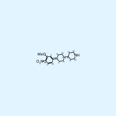 COc1cc(N2CCN(C3CCNCC3)CC2)ccc1[N+](=O)[O-]